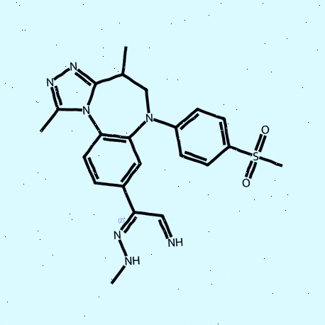 CN/N=C(\C=N)c1ccc2c(c1)N(c1ccc(S(C)(=O)=O)cc1)CC(C)c1nnc(C)n1-2